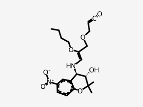 CCCCOC(=CN[C@@H]1c2cc([N+](=O)[O-])ccc2OC(C)(C)[C@H]1O)COCC=C=O